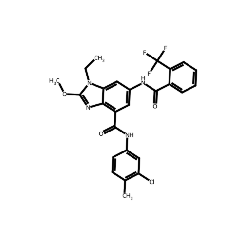 CCn1c(OC)nc2c(C(=O)Nc3ccc(C)c(Cl)c3)cc(NC(=O)c3ccccc3C(F)(F)F)cc21